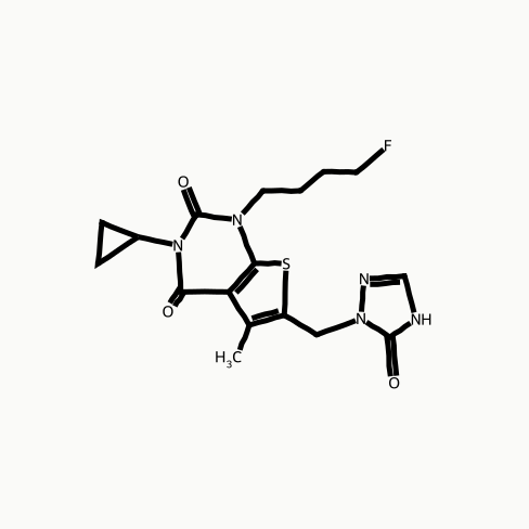 Cc1c(Cn2nc[nH]c2=O)sc2c1c(=O)n(C1CC1)c(=O)n2CCCCF